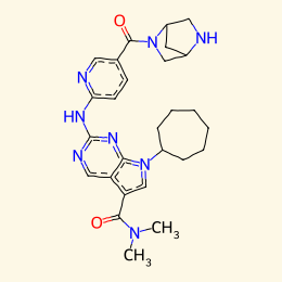 CN(C)C(=O)c1cn(C2CCCCCC2)c2nc(Nc3ccc(C(=O)N4CC5CC4CN5)cn3)ncc12